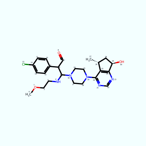 COCCNC(C(C=O)c1ccc(Cl)cc1)N1CCN(c2ncnc3c2[C@H](C)C[C@H]3O)CC1